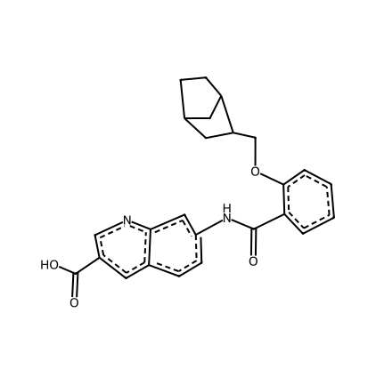 O=C(O)c1cnc2cc(NC(=O)c3ccccc3OCC3CC4CCC3C4)ccc2c1